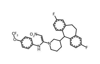 O=[N+]([O-])C=C(Nc1ccc(OC(F)(F)F)cc1)N1CCCC(C2c3ccc(F)cc3CCc3cc(F)ccc32)C1